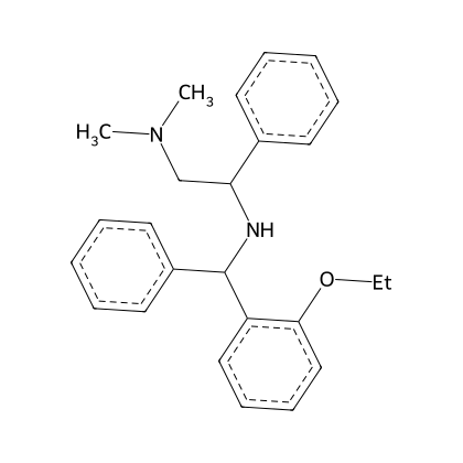 CCOc1ccccc1C(NC(CN(C)C)c1ccccc1)c1ccccc1